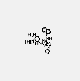 Cl.Cl.N[C@H]1CC[C@H](Nc2nc(NCc3cccc4ccccc34)c3ncn(C4CCCC4)c3n2)CC1